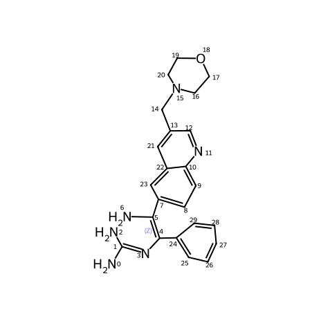 NC(N)=N/C(=C(\N)c1ccc2ncc(CN3CCOCC3)cc2c1)c1ccccc1